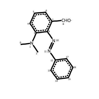 CN(C)c1cccc([C]=O)c1N=Nc1ccccc1